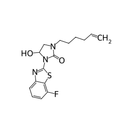 C=CCCCCN1CC(O)N(c2nc3cccc(F)c3s2)C1=O